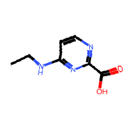 CCNc1ccnc(C(=O)O)n1